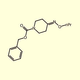 CCCON=C1CCN(C(=O)OCc2ccccc2)CC1